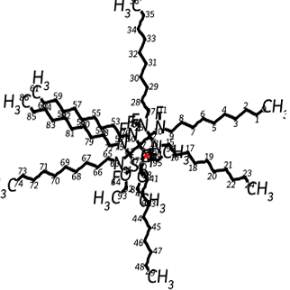 CCCCCCCCCCN(F)C(N(F)CCCCCCCCCC)(N(F)CCCCCCCCCC)C(N(F)CCCCCCCCCC)(N(F)CCCCCCCCCC)C(N(F)CCCCCCCCCC)(N(F)CCCCCCCCCC)[Si](OCC)(OCC)OCC